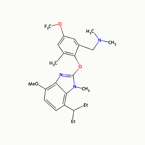 CCC(CC)c1ccc(OC)c2nc(Oc3c(C)cc(OC(F)(F)F)cc3CN(C)C)n(C)c12